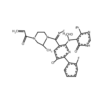 C=CC(=O)N1CCN(/C(=N/C)c2cc(Cl)c(-c3ccccc3F)nc2N(C=O)c2c(C(C)C)nc[nH]c2=O)C(C)C1